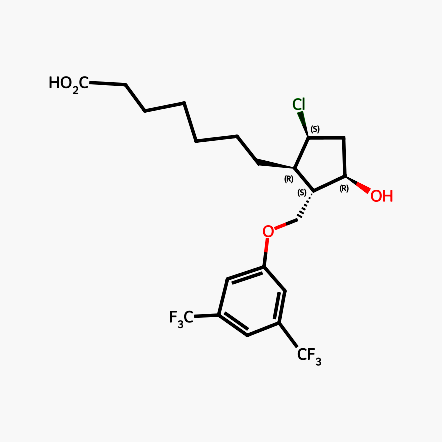 O=C(O)CCCCCC[C@@H]1[C@@H](COc2cc(C(F)(F)F)cc(C(F)(F)F)c2)[C@H](O)C[C@@H]1Cl